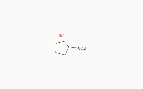 Br.O=C(O)C1CCCC1